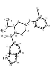 CC(C)C1CN(Cc2ccccc2F)CCN1C(=O)c1ccc2cc[nH]c2c1